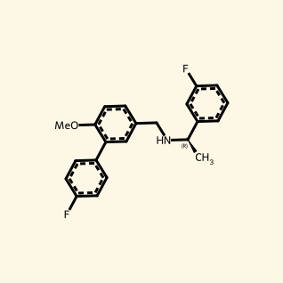 COc1ccc(CN[C@H](C)c2cccc(F)c2)cc1-c1ccc(F)cc1